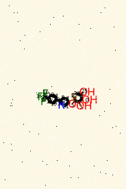 O[C@@H]1[C@@H](O)[C@@H](Oc2ccc(-c3ccc(C(F)(F)F)cc3)nc2)SC[C@H]1O